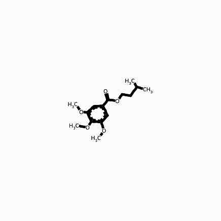 COc1cc(C(=O)OCCC(C)C)cc(OC)c1OC